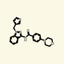 O=C(Nc1nn(Cc2ccsc2)c2ccccc12)c1ccc(N2CCOCC2)cc1